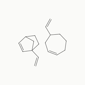 C=CC12C=CC(CC1)C2.C=CC1CC=CCCC1